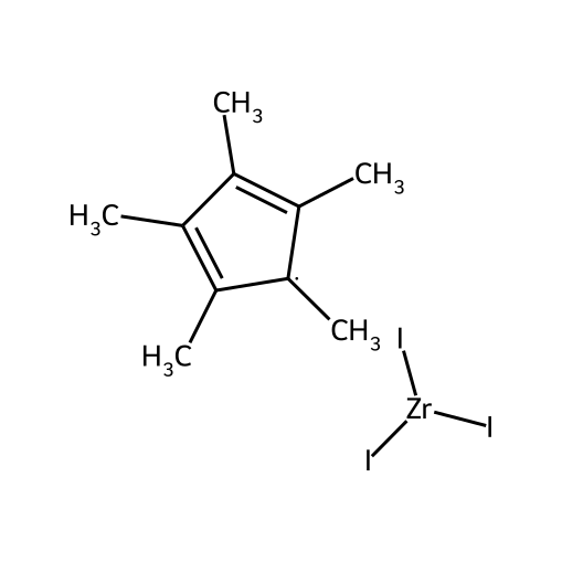 C[C]1C(C)=C(C)C(C)=C1C.[I][Zr]([I])[I]